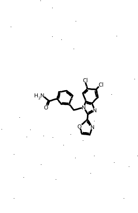 NC(=O)c1cccc(Cn2c(-c3ncco3)nc3cc(Cl)c(Cl)cc32)c1